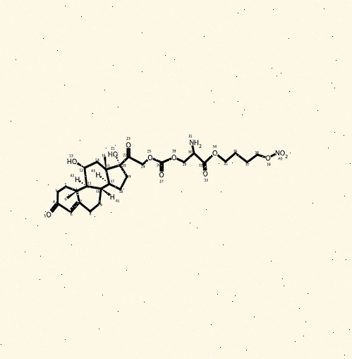 C[C@]12CCC(=O)C=C1CC[C@@H]1[C@@H]2[C@@H](O)C[C@@]2(C)[C@H]1CC[C@]2(O)C(=O)COC(=O)OCC(N)C(=O)OCCCCO[N+](=O)[O-]